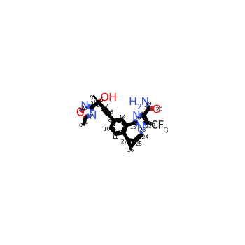 Cc1nc([C@](C)(O)C#Cc2ccc3c(c2)-c2nc(C(N)=O)c(C(F)(F)F)n2C=C2CC23)no1